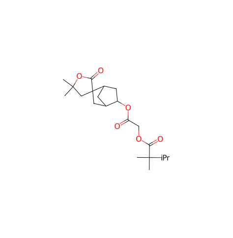 CC(C)C(C)(C)C(=O)OCC(=O)OC1CC2CC1CC21CC(C)(C)OC1=O